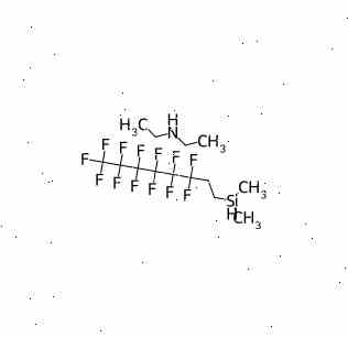 CCNCC.C[SiH](C)CCC(F)(F)C(F)(F)C(F)(F)C(F)(F)C(F)(F)C(F)(F)F